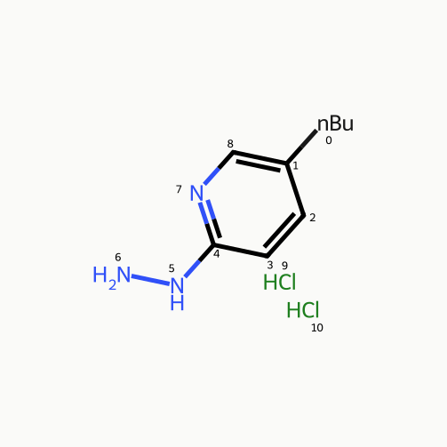 CCCCc1ccc(NN)nc1.Cl.Cl